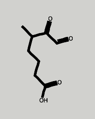 CC(CCCC(=O)O)C(=O)C=O